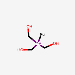 OC[PH]([Ru])(CO)CO